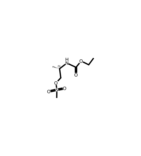 CCOC(=O)N[C@@H](C)COS(C)(=O)=O